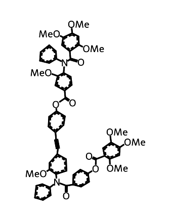 COc1cc(OC)c(C(=O)Oc2ccc(C(=O)N(c3ccccc3)c3ccc(C#Cc4ccc(OC(=O)c5ccc(N(C(=O)c6cc(OC)c(OC)cc6OC)c6ccccc6)c(OC)c5)cc4)cc3OC)cc2)cc1OC